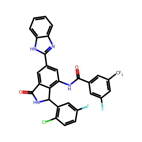 O=C(Nc1cc(-c2nc3ccccc3[nH]2)cc2c1C(c1cc(F)ccc1Cl)NC2=O)c1cc(F)cc(C(F)(F)F)c1